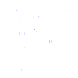 Cc1cc(-n2ccnc2)cc2[nH]c(-c3c(NCCCO)cc[nH]c3=O)nc12